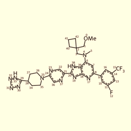 COCC1(CN(C)c2cc(-c3cc(F)cc(C(F)(F)F)c3)nc3nc(-c4cnc(N5CCC(c6nnn[nH]6)CC5)cn4)[nH]c23)CCC1